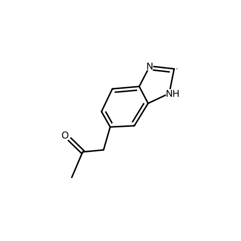 CC(=O)Cc1ccc2n[c][nH]c2c1